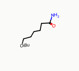 CC(C)COCCCCCC(N)=O